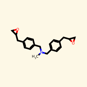 CN(Cc1ccc(CC2CO2)cc1)Cc1ccc(CC2CO2)cc1